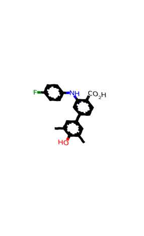 Cc1cc(-c2ccc(C(=O)O)c(Nc3ccc(F)cc3)c2)cc(C)c1O